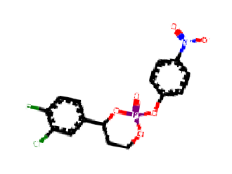 O=[N+]([O-])c1ccc(OP2(=O)OCCC(c3ccc(F)c(Cl)c3)O2)cc1